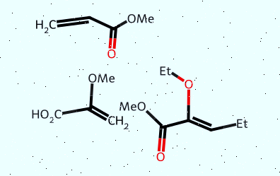 C=C(OC)C(=O)O.C=CC(=O)OC.CCC=C(OCC)C(=O)OC